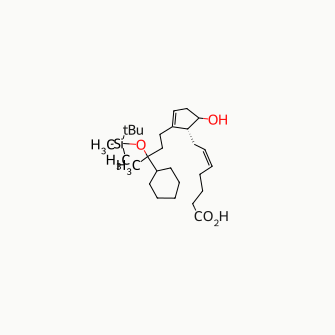 CC(CCC1=CCC(O)[C@@H]1C/C=C\CCCC(=O)O)(O[Si](C)(C)C(C)(C)C)C1CCCCC1